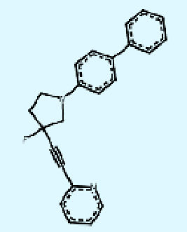 FC1(C#Cc2ccccn2)CCN(c2ccc(-c3ccccc3)cc2)C1